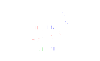 NC(Cl)[C@H]1O[C@@H](NC(=O)c2c[nH]cn2)[C@H](O)[C@@H]1O